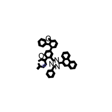 C=C(C)/C=C\C1=C(C)OC2C=C(C3C=CC=C4Oc5ccccc5C43)C=C(c3nc(-c4ccccc4)nc(-c4cc5ccccc5c5ccccc45)n3)C12